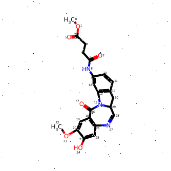 COC(=O)CCC(=O)Nc1ccc2c(c1)N1C(=O)c3cc(OC)c(O)cc3N=CC1C2